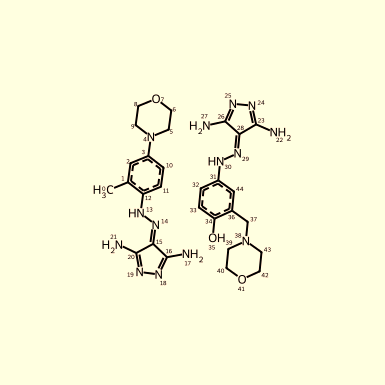 Cc1cc(N2CCOCC2)ccc1NN=C1C(N)=NN=C1N.NC1=NN=C(N)C1=NNc1ccc(O)c(CN2CCOCC2)c1